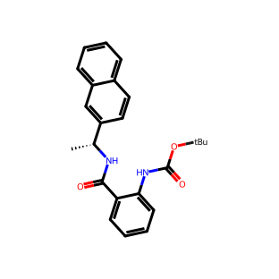 C[C@@H](NC(=O)c1ccccc1NC(=O)OC(C)(C)C)c1ccc2ccccc2c1